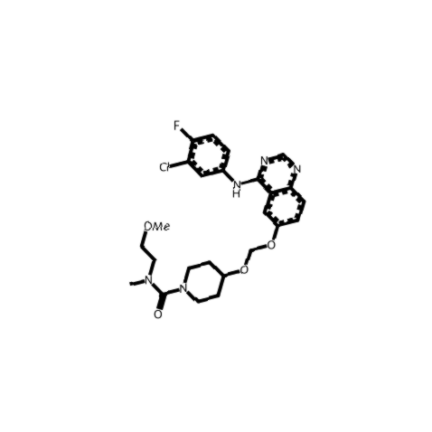 COCCN(C)C(=O)N1CCC(OCOc2ccc3ncnc(Nc4ccc(F)c(Cl)c4)c3c2)CC1